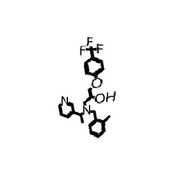 Cc1ccccc1CN(CC(O)COc1ccc(C(F)(F)F)cc1)C(C)c1cccnc1